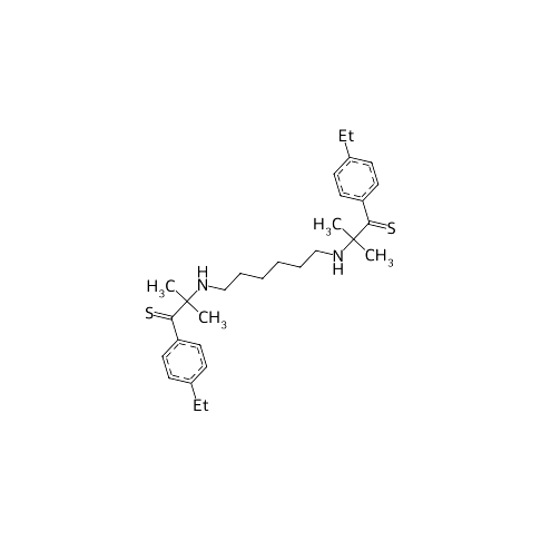 CCc1ccc(C(=S)C(C)(C)NCCCCCCNC(C)(C)C(=S)c2ccc(CC)cc2)cc1